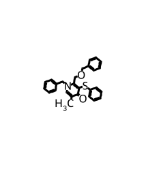 Cc1cn(Cc2ccccc2)c(COCc2ccccc2)c(Sc2ccccc2)c1=O